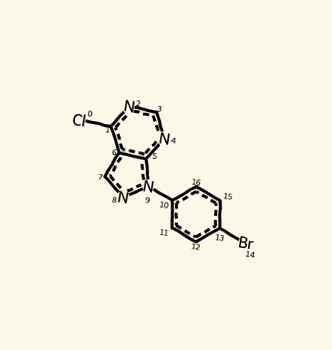 Clc1ncnc2c1cnn2-c1ccc(Br)cc1